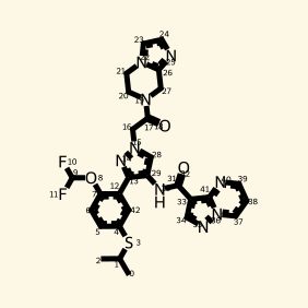 CC(C)Sc1ccc(OC(F)F)c(-c2nn(CC(=O)N3CCn4ccnc4C3)cc2NC(=O)c2cnn3cccnc23)c1